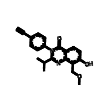 C#Cc1ccc(-n2c(C(C)C)nc3c(COC)c(O)ccc3c2=O)cc1